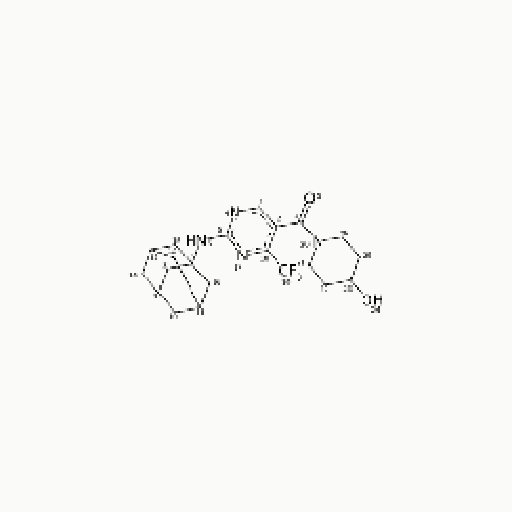 O=C(c1cnc(NC23CC4CC(CC(C4)C2)C3)nc1C(F)(F)F)N1CCC(O)CC1